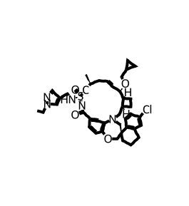 CCn1cc(CN[S@@]2(=O)=NC(=O)c3ccc4c(c3)N(C[C@@H]3CC[C@H]3[C@@H](OCC3CC3)/C=C/C[C@H](C)C2)C[C@@]2(CCCc3cc(Cl)ccc32)CO4)cn1